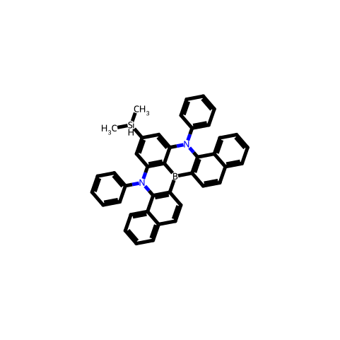 C[SiH](C)c1cc2c3c(c1)N(c1ccccc1)c1c(ccc4ccccc14)B3c1ccc3ccccc3c1N2c1ccccc1